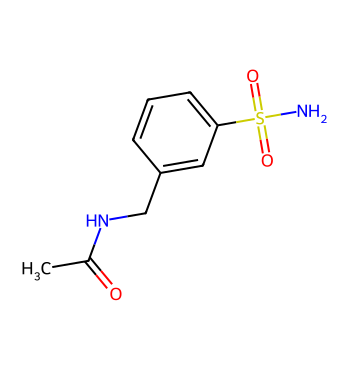 CC(=O)NCc1cccc(S(N)(=O)=O)c1